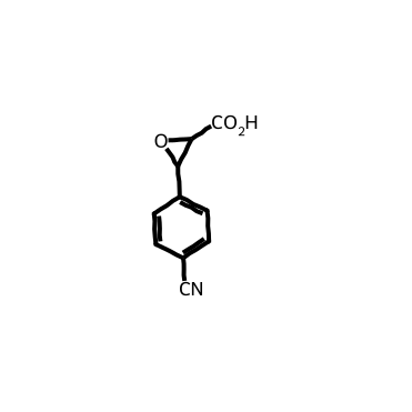 N#Cc1ccc(C2OC2C(=O)O)cc1